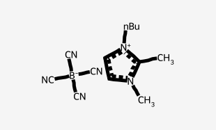 CCCC[n+]1ccn(C)c1C.N#C[B-](C#N)(C#N)C#N